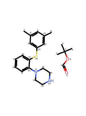 CC(C)(C)OC=O.Cc1cc(C)cc(Sc2ccccc2N2CCNCC2)c1